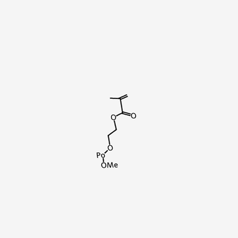 C=C(C)C(=O)OCC[O][Po][O]C